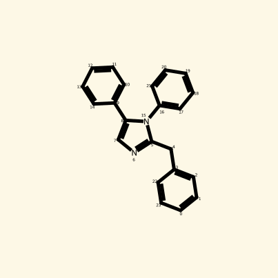 c1ccc(Cc2ncc(-c3ccccc3)n2-c2ccccc2)cc1